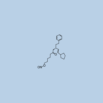 O=NOCCCCCC(=O)C[C@H](/C=C/C1CCCC1)CCc1ccccc1